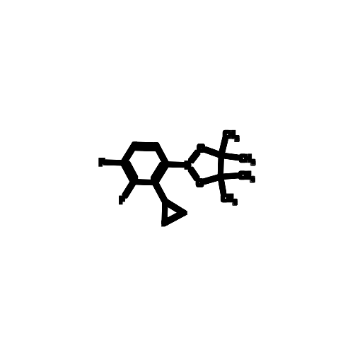 CC1(C)OB(c2ccc(F)c(F)c2C2CC2)OC1(C)C